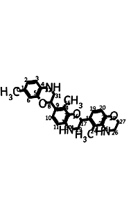 Cc1ccc2c(c1)OC(c1ccc3c(c1C)OC(c1ccc4c(c1C)NCCO4)CN3)CN2